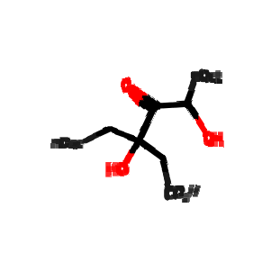 CCCCCCCCCCCC(O)(CC(=O)O)C(=O)C(O)CCCCCCCC